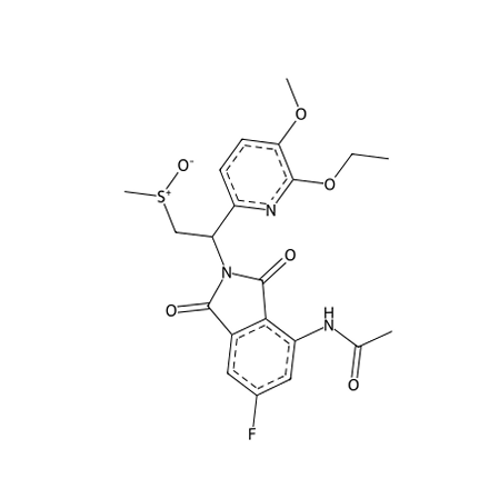 CCOc1nc(C(C[S+](C)[O-])N2C(=O)c3cc(F)cc(NC(C)=O)c3C2=O)ccc1OC